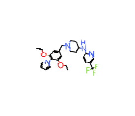 CCOc1cc(CN2CCC(Nc3ccc(C(F)(F)F)cn3)CC2)cc(OCC)c1-n1cccc1